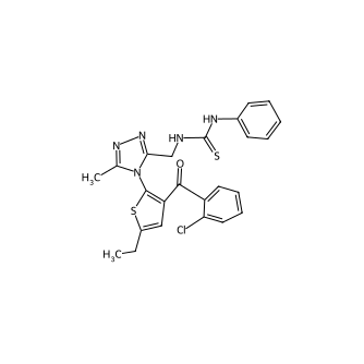 CCc1cc(C(=O)c2ccccc2Cl)c(-n2c(C)nnc2CNC(=S)Nc2ccccc2)s1